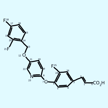 O=C(O)/C=C/c1ccc(Oc2ccc(OCc3ccc(F)cc3F)cn2)c(F)c1